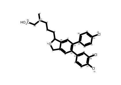 CN(CCCC1OCc2cc(-c3ccc(Cl)c(Cl)c3)c(-c3ccc(Cl)cc3)cc21)CC(=O)O